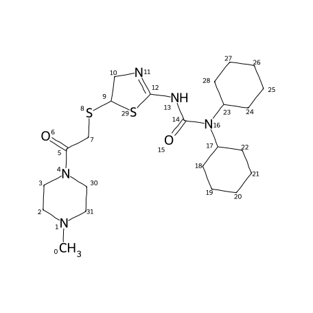 CN1CCN(C(=O)CSC2CN=C(NC(=O)N(C3CCCCC3)C3CCCCC3)S2)CC1